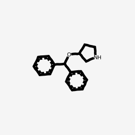 c1ccc(C(OC2CCNC2)c2ccccc2)cc1